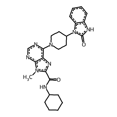 Cn1c(C(=O)NC2CCCCC2)nc2c(N3CCC(n4c(=O)[nH]c5ccccc54)CC3)ncnc21